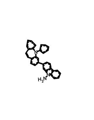 Nn1c2ccccc2c2ccc(-c3ccc4c(c3)N(c3ccccc3)c3ccccc3C=C4)cc21